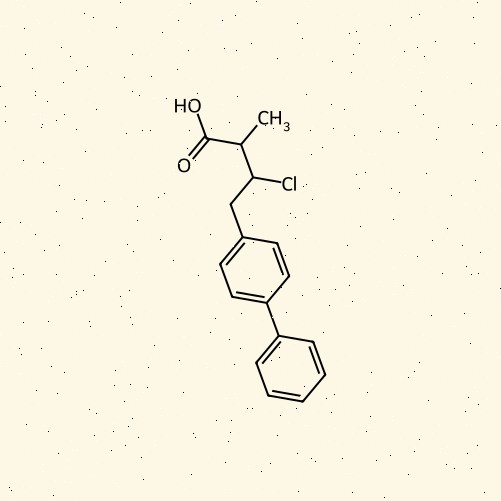 CC(C(=O)O)C(Cl)Cc1ccc(-c2ccccc2)cc1